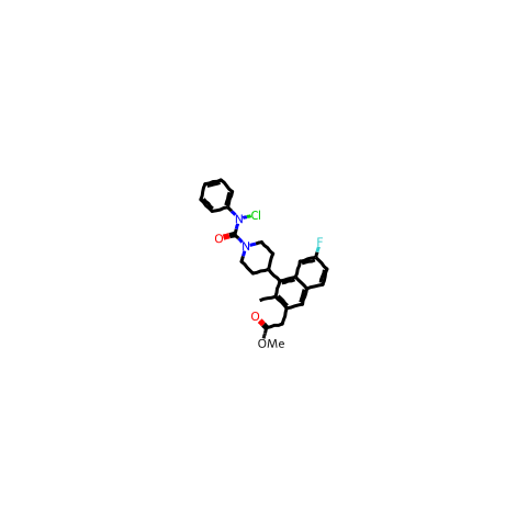 COC(=O)Cc1cc2ccc(F)cc2c(C2CCN(C(=O)N(Cl)c3ccccc3)CC2)c1C